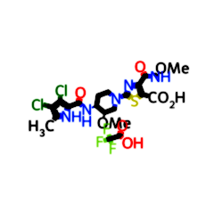 CONC(=O)c1nc(N2CC[C@@H](NC(=O)c3[nH]c(C)c(Cl)c3Cl)[C@@H](OC)C2)sc1C(=O)O.O=C(O)C(F)(F)F